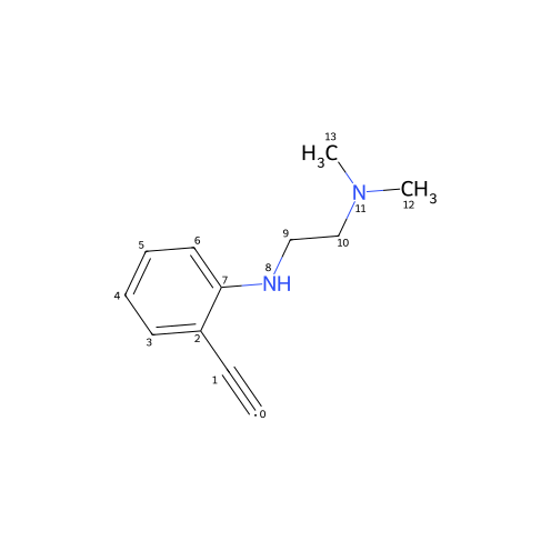 [C]#Cc1ccccc1NCCN(C)C